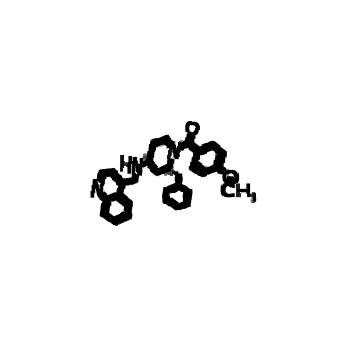 COc1ccc(C(=O)N2CC[C@H](NCc3ccnc4ccccc34)C[C@H]2Cc2ccccc2)cc1